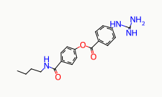 CCCCNC(=O)c1ccc(OC(=O)c2ccc(NC(=N)N)cc2)cc1